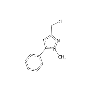 Cn1nc(CCl)cc1-c1ccccc1